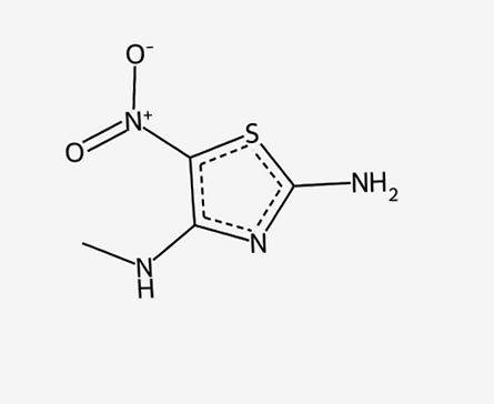 CNc1nc(N)sc1[N+](=O)[O-]